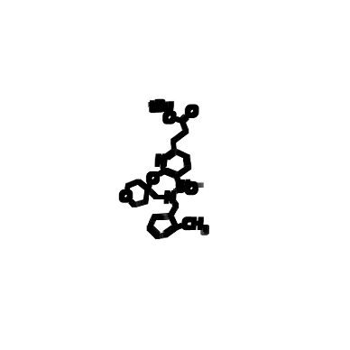 Cc1ccccc1CN1CC2(CCOCC2)Oc2nc(CCC(=O)OC(C)(C)C)ccc2[S+]1[O-]